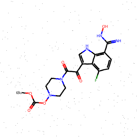 CC(C)(C)OC(=O)ON1CCN(C(=O)C(=O)c2c[nH]c3c(C(=N)NO)ccc(F)c23)CC1